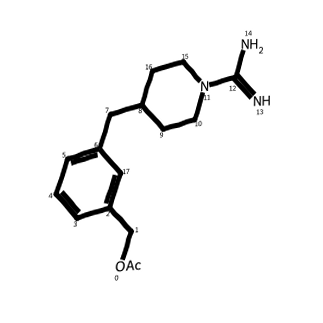 [CH2]C(=O)OCc1cccc(CC2CCN(C(=N)N)CC2)c1